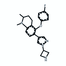 CC1CCc2c(ccc(-c3cnn(C4CNC4)c3)c2Oc2ccc(F)cc2)N1C